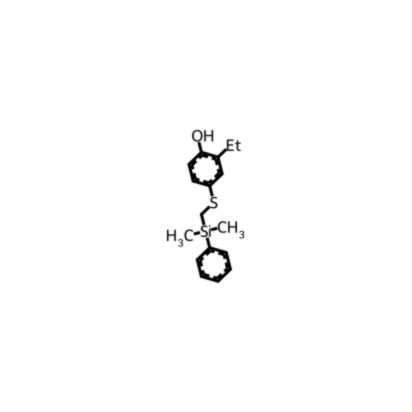 CCc1cc(SC[Si](C)(C)c2ccccc2)ccc1O